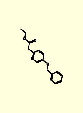 CCOC(=O)Cc1ccc(OCc2ccccc2)cn1